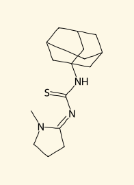 CN1CCCC1=NC(=S)NC12CC3CC(CC(C3)C1)C2